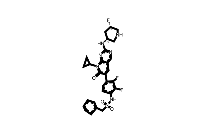 O=c1c(-c2ccc(NS(=O)(=O)Cc3ccccc3)c(F)c2F)cc2cnc(N[C@@H]3CNC[C@@H](F)C3)nc2n1C1CC1